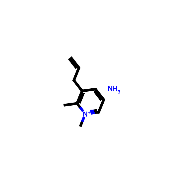 C=CCc1ccc[n+](C)c1C.N